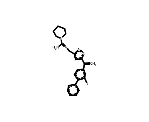 C=C(c1ccc(-c2ccccc2)c(F)c1)c1cc(C/N=C(\N)N2CCCCC2)no1